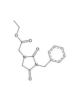 CCOC(=O)CN1CC(=O)N(Cc2ccccc2)C1=O